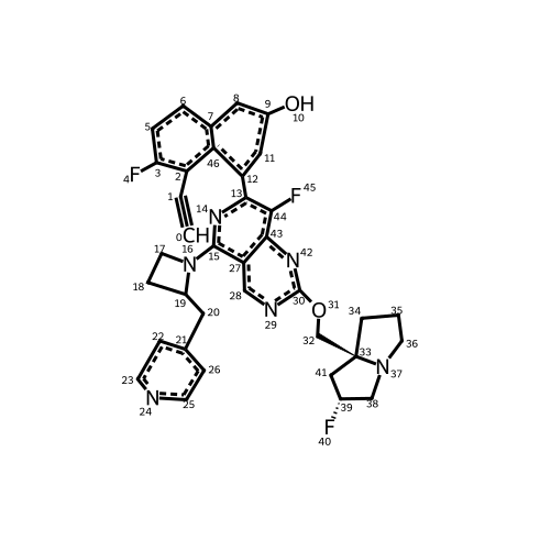 C#Cc1c(F)ccc2cc(O)cc(-c3nc(N4CCC4Cc4ccncc4)c4cnc(OC[C@@]56CCCN5C[C@H](F)C6)nc4c3F)c12